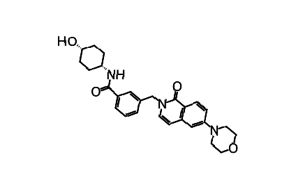 O=C(N[C@H]1CC[C@@H](O)CC1)c1cccc(Cn2ccc3cc(N4CCOCC4)ccc3c2=O)c1